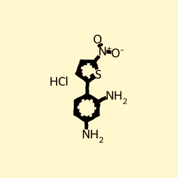 Cl.Nc1ccc(-c2ccc([N+](=O)[O-])s2)c(N)c1